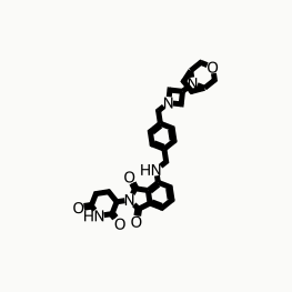 O=C1CCC(N2C(=O)c3cccc(NCc4ccc(CN5CC(N6C7CCC6COC7)C5)cc4)c3C2=O)C(=O)N1